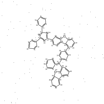 c1ccc(-c2nc(-c3ccccc3)nc(-c3ccc4c(c3)oc3cccc(-c5ccc(N(c6ccccc6)c6cccc7c6oc6ccccc67)cc5)c34)n2)cc1